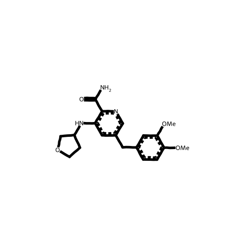 COc1ccc(Cc2cnc(C(N)=O)c(NC3CCOC3)c2)cc1OC